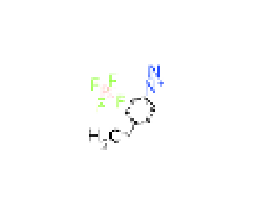 C=Cc1ccc([N+]#N)cc1.F[B-](F)(F)F